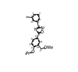 [CH2]c1cccc(-c2noc(-c3ccc(OC(C)C)c(COC)c3)n2)c1